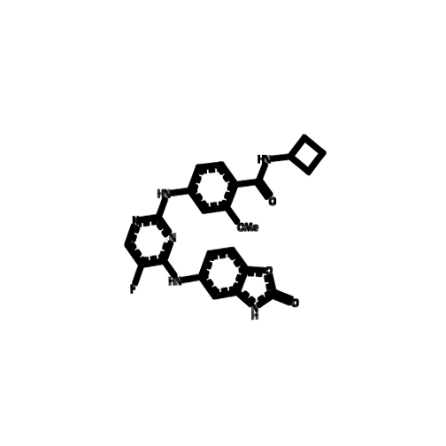 COc1cc(Nc2ncc(F)c(Nc3ccc4oc(=O)[nH]c4c3)n2)ccc1C(=O)NC1CCC1